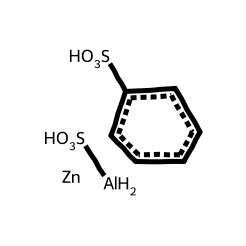 O=S(=O)(O)c1ccccc1.O=[S](=O)(O)[AlH2].[Zn]